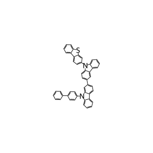 c1ccc(-c2ccc(-n3c4ccccc4c4ccc(-c5ccc6c(c5)c5ccccc5n6-c5ccc6c(c5)sc5ccccc56)cc43)cc2)cc1